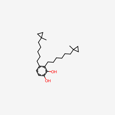 CC1(CCCCCCc2c(CCCCCC3(C)CC3)ccc(O)c2O)CC1